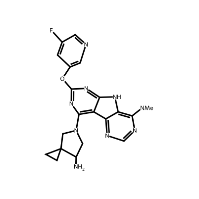 CNc1ncnc2c1[nH]c1nc(Oc3cncc(F)c3)nc(N3CC(N)C4(CC4)C3)c12